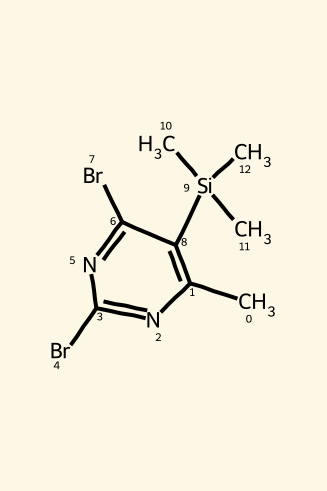 Cc1nc(Br)nc(Br)c1[Si](C)(C)C